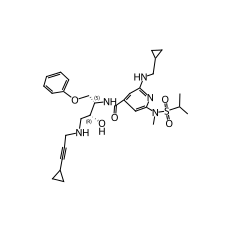 CC(C)S(=O)(=O)N(C)c1cc(C(=O)N[C@@H](COc2ccccc2)[C@H](O)CNCC#CC2CC2)cc(NCC2CC2)n1